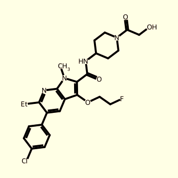 CCc1nc2c(cc1-c1ccc(Cl)cc1)c(OCCF)c(C(=O)NC1CCN(C(=O)CO)CC1)n2C